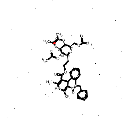 CC(=O)OC[C@H]1O[C@@H](CCOC(=O)C2=C(C)NC(C)=C([N+](=O)[O-])C2c2ccccc2OCc2ccccc2)[C@H](OC(C)=O)[C@@H](OC(C)=O)[C@@H]1OC(C)=O